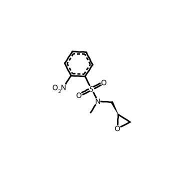 CN(C[C@H]1CO1)S(=O)(=O)c1ccccc1[N+](=O)[O-]